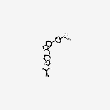 CN(C)c1ccc(-c2ccc3nnc(Sc4ccc5nc(NC(=O)C6CC6)cn5n4)n3c2)cn1